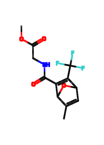 COC(=O)CNC(=O)C1=C(C(F)(F)F)C2C=C(C)C1O2